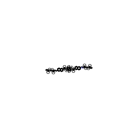 C=CC(=O)OCOC(=O)/C=C/c1ccc2cc(C(=O)O[C@@H]3CO[C@H]4[C@@H]3OC[C@@H]4OC(=O)c3ccc4cc(CCC(=O)OCOC(=O)C=C)ccc4c3)ccc2c1